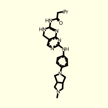 CC(C)CC(=O)NC1=Nc2nc(Nc3ccc(N4CC5CN(C)CC5C4)cc3)ncc2CN1